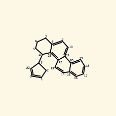 C1=CCC(C2CCCc3ccc4c(ccc5ccccc54)c32)C=1